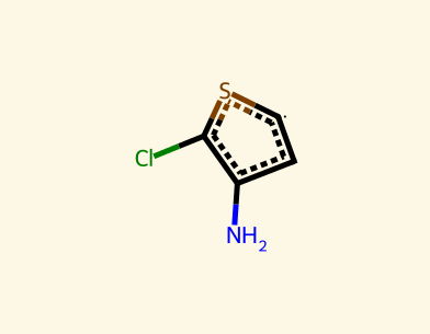 Nc1c[c]sc1Cl